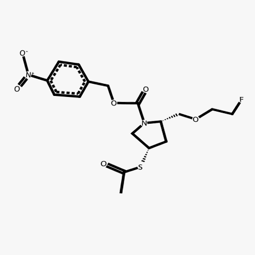 CC(=O)S[C@H]1C[C@@H](COCCF)N(C(=O)OCc2ccc([N+](=O)[O-])cc2)C1